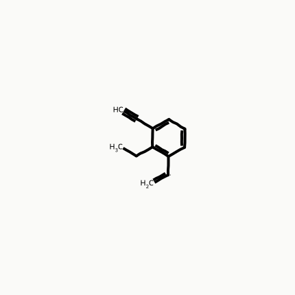 C#Cc1cccc([C]=C)c1CC